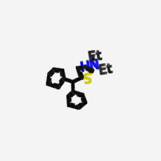 CCNCC.c1ccc(C(c2ccccc2)c2cccs2)cc1